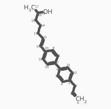 C=CCc1ccc(-c2ccc(C=CCCCC(C)O)cc2)cc1